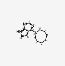 c1nc(N2CCCCCCC2)c2cc[nH]c2n1